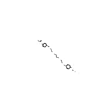 COC(=O)Nc1ccc(C(=O)OCC(=O)OCCCCOC(=O)COC(=O)c2ccc(NC(=O)CO)cc2)cc1